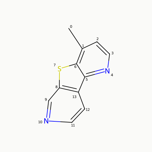 Cc1ccnc2c1sc1cnccc12